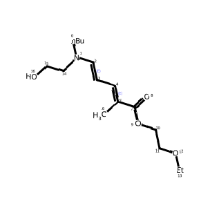 CCCCN(/C=C/C=C(\C)C(=O)OCCOCC)CCO